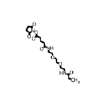 CCC(=O)NCCOCCOCCNC(=O)CCCC(=O)ON1C(=O)CCC1=O